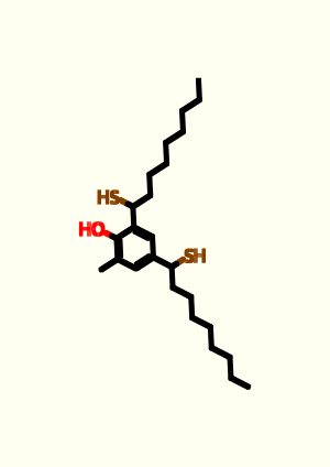 CCCCCCCCC(S)c1cc(C)c(O)c(C(S)CCCCCCCC)c1